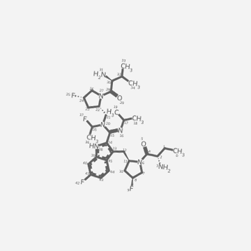 CC[C@H](N)C(=O)N1C[C@@H](F)C[C@H]1Cc1c(/C(=N/C(C)C)N(C[C@@H]2C[C@H](F)CN2C(=O)[C@@H](N)C(C)C)C(C)F)[nH]c2cc(F)ccc12